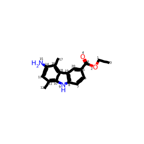 CCOC(=O)c1ccc2[nH]c3c(C)cc(N)c(C)c3c2c1